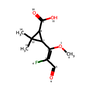 COC(=C(F)C=O)C1C(C(=O)O)C1(C)C